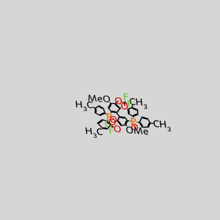 COc1cc(P(=O)(c2ccc(C)cc2)c2ccc(C)cc2)c(-c2cc(P(=O)(c3ccc(C)cc3)c3ccc(C)cc3)c(OC)c3c2OC(F)(F)O3)c2c1OC(F)(F)O2